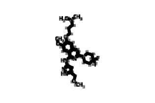 COCc1cc(Nc2nc(N3CCC(F)(F)CC3)nc3cc(OCCCN(C)C)c(OC)cc23)n[nH]1